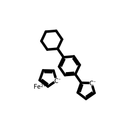 [Fe+2].c1c[cH-]c(-c2ccc(C3CCCCC3)cc2)c1.c1cc[cH-]c1